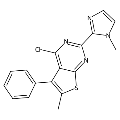 Cc1sc2nc(-c3nccn3C)nc(Cl)c2c1-c1ccccc1